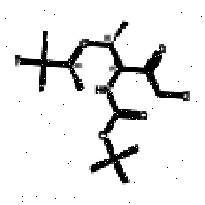 C[C@H](O[C@H](C)[C@H](NC(=O)OC(C)(C)C)C(=O)CCl)C(F)(F)F